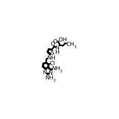 CCCC(NC(=O)c1ccc(NCc2ccc3nc(N)nc(N)c3c2Cl)s1)C(=O)O